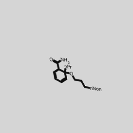 CCCCCCCCCCCCOC1(CCC)C=CC=CC1C(N)=O